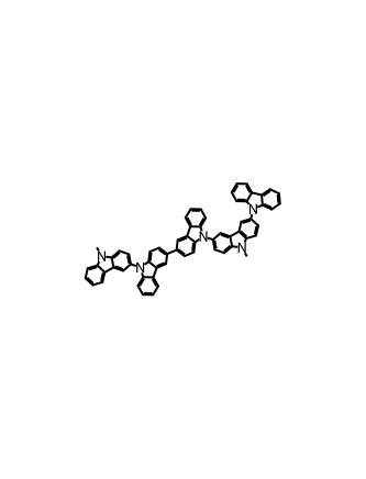 Cn1c2ccccc2c2cc(-n3c4ccccc4c4cc(-c5ccc6c(c5)c5ccccc5n6-c5ccc6c(c5)c5cc(-n7c8ccccc8c8ccccc87)ccc5n6C)ccc43)ccc21